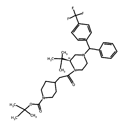 CC(C)(C)OC(=O)N1CCC(CC(=O)N2CCN(C(c3ccccc3)c3ccc(C(F)(F)F)cc3)C[C@@H]2C(C)(C)C)CC1